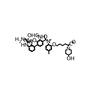 COc1c(-c2cccc3[nH]c(CN)nc23)ccc(C(=O)N(C)c2ccc(C)cc2OCCCCC(=C=O)N2CCC(O)CC2)c1NC=O